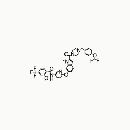 COc1cc(C(F)(F)F)ccc1C(=O)Nc1ccc(Oc2ccc3cc(C(=O)N4CCN(Cc5ccc(OC(F)F)cc5)CC4)n(C)c3c2)nc1